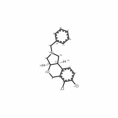 Clc1ccc2c(c1Cl)CO[C@H]1CN(Cc3ccccc3)C[C@@H]21